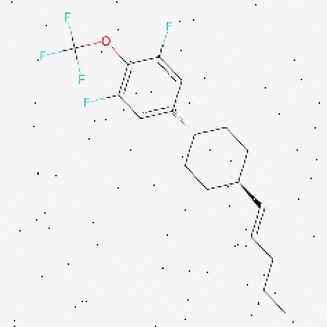 CCC/C=C/[C@H]1CC[C@H](c2cc(F)c(OC(F)(F)F)c(F)c2)CC1